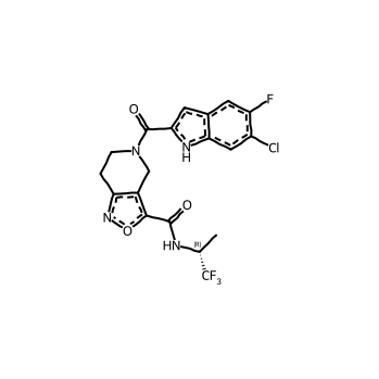 C[C@@H](NC(=O)c1onc2c1CN(C(=O)c1cc3cc(F)c(Cl)cc3[nH]1)CC2)C(F)(F)F